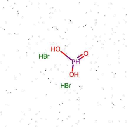 Br.Br.O=[PH](O)O